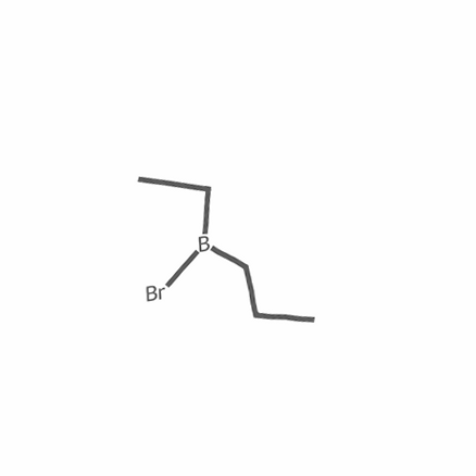 CCCB(Br)CC